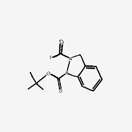 CC(C)(C)OC(=O)N1c2ccccc2CN1C(=O)F